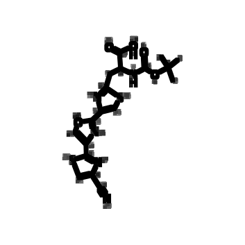 CC(C)(C)OC(=O)NC(Cc1nc(-c2nc(-c3nc(C#N)cs3)co2)cs1)C(=O)O